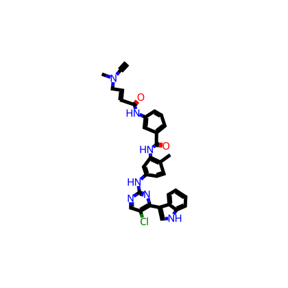 C#CN(C)C/C=C/C(=O)Nc1cccc(C(=O)Nc2cc(Nc3ncc(Cl)c(-c4c[nH]c5ccccc45)n3)ccc2C)c1